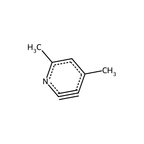 Cc1c#cnc(C)c1